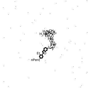 CCCCCc1ccc(-c2cc3ccc(SCC(F)(F)OC(F)(F)OC(F)(F)OC(F)(F)COC(=O)C(C)(C)C(C)(N)CC(C)(C)N)cc3o2)c(CC)c1